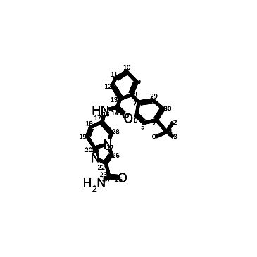 CC(C)(C)c1ccc(-c2ccccc2C(=O)Nc2ccc3nc(C(N)=O)cn3c2)cc1